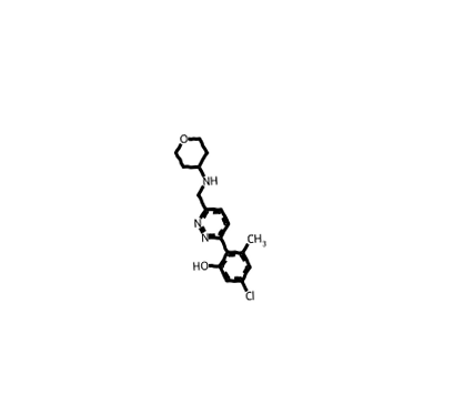 Cc1cc(Cl)cc(O)c1-c1ccc(CNC2CCOCC2)nn1